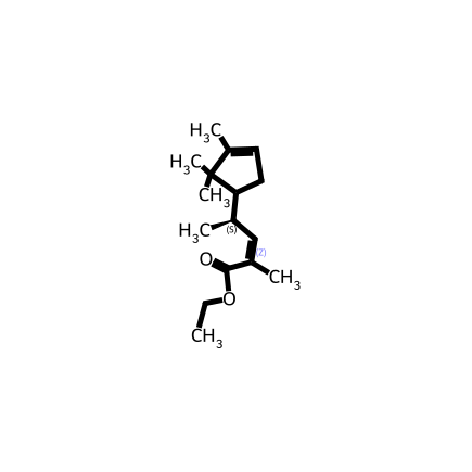 CCOC(=O)/C(C)=C\[C@@H](C)C1CC=C(C)C1(C)C